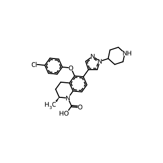 C[C@H]1CCc2c(ccc(-c3cnn(C4CCNCC4)c3)c2Oc2ccc(Cl)cc2)N1C(=O)O